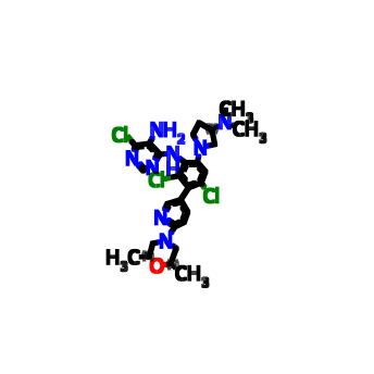 C[C@H]1CN(c2ccc(-c3c(Cl)cc(N4CC[C@@H](N(C)C)C4)c(Nc4ncnc(Cl)c4N)c3Cl)cn2)C[C@H](C)O1